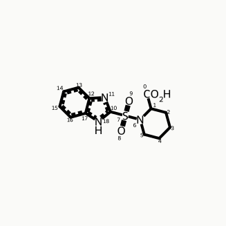 O=C(O)C1CCCCN1S(=O)(=O)c1nc2ccccc2[nH]1